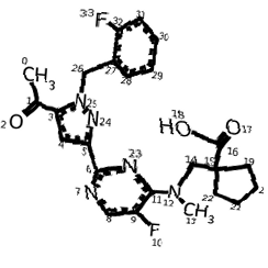 CC(=O)c1cc(-c2ncc(F)c(N(C)CC3(C(=O)O)CCCC3)n2)nn1Cc1ccccc1F